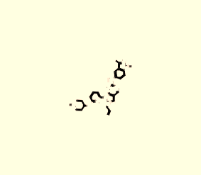 C=CCn1c(=O)c2cnc(Nc3ccc4c(c3)c(C)nn4C)nc2n1-c1cccc(OC2CCN(C)CC2)n1